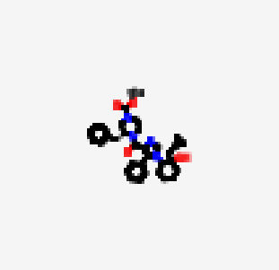 CC(C)(C)OC(=O)N1CCN(C(=O)c2ncn([C@@H]3CCCC[C@@]3(O)CC3CC3)c2-c2ccccc2)[C@H](Cc2ccccc2)C1